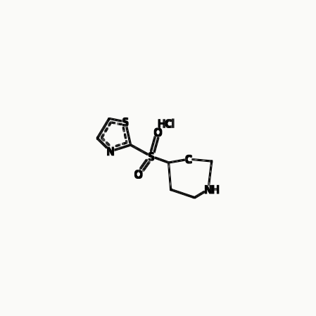 Cl.O=S(=O)(c1nccs1)C1CCNCC1